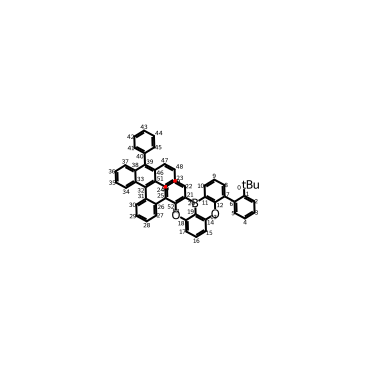 CC(C)(C)c1ccccc1-c1cccc2c1Oc1cccc3c1B2c1cccc(-c2ccccc2-c2c4ccccc4c(-c4ccccc4)c4ccccc24)c1O3